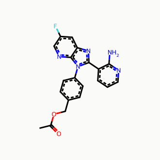 CC(=O)OCc1ccc(-n2c(-c3cccnc3N)nc3cc(F)cnc32)cc1